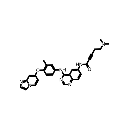 Cc1cc(Nc2ncnc3ccc(NC(=O)C#CCCN(C)C)cc23)ccc1Oc1ccn2ccnc2c1